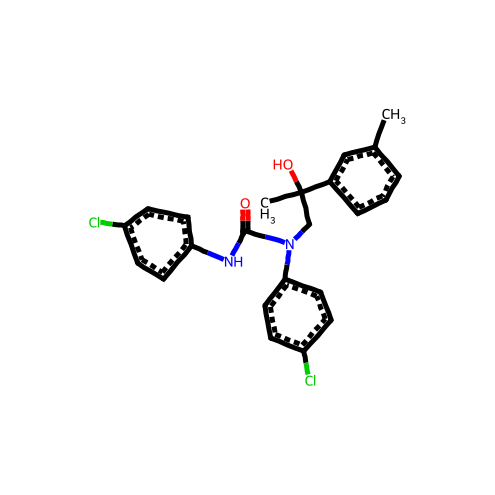 Cc1cccc(C(C)(O)CN(C(=O)Nc2ccc(Cl)cc2)c2ccc(Cl)cc2)c1